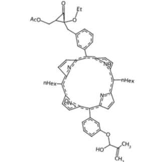 C=C(C)C(O)Oc1cccc(-c2c3nc(c(CCCCCC)c4ccc([nH]4)c(-c4cccc(CC5(OCC)C(=O)C5COC(C)=O)c4)c4nc(c(CCCCCC)c5ccc2[nH]5)C=C4)C=C3)c1